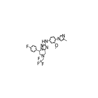 COc1cc(Nc2nc3n(n2)C(c2ccc(F)cc2)CN(CC(F)(F)F)C3)ccc1-n1cnc(C)c1